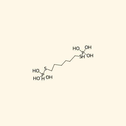 O[PH](O)(O)SCCCCCCS[PH](O)(O)O